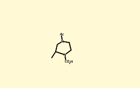 CC(=O)N1CCN(C(=O)O)C(C)C1